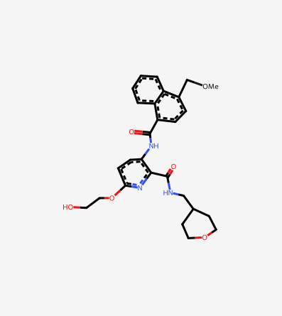 COCc1ccc(C(=O)Nc2ccc(OCCO)nc2C(=O)NCC2CCOCC2)c2ccccc12